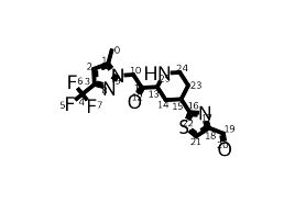 Cc1cc(C(F)(F)F)nn1CC(=O)C1CC(c2nc(C=O)cs2)CCN1